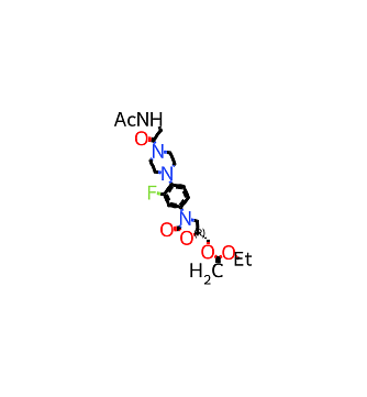 C=C(OCC)OC[C@H]1CN(c2ccc(N3CCN(C(=O)CNC(C)=O)CC3)c(F)c2)C(=O)O1